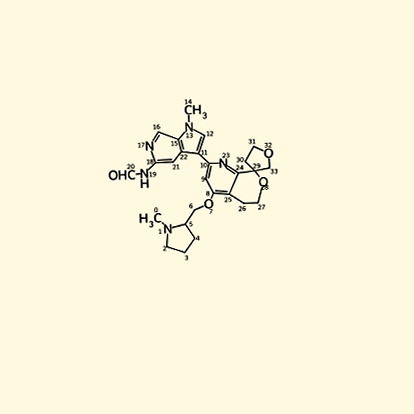 CN1CCCC1COc1cc(-c2cn(C)c3cnc(NC=O)cc23)nc2c1CCOC21CCOC1